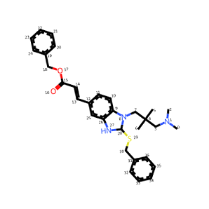 CN(C)CC(C)(C)CN1c2ccc(C=CC(=O)OCc3ccccc3)cc2NC1SCc1ccccc1